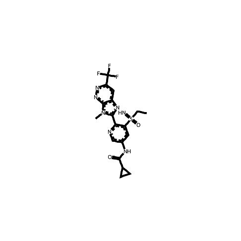 CCS(=N)(=O)c1cc(NC(=O)C2CC2)cnc1-c1nc2cc(C(F)(F)F)nnc2n1C